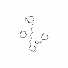 [c]1ccc(CCC(CCCc2cccnc2)c2ccccc2)c(OCc2ccccc2)c1